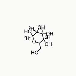 [2H][C@@]1(O)[C@@]([2H])(O)[C@]([2H])(O)[C@@H](CO)O[C@@]1([2H])O